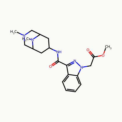 COC(=O)Cn1nc(C(=O)NC2CC3CN(C)CC(C2)N3C)c2ccccc21